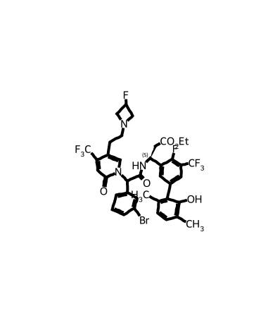 CCOC(=O)C[C@H](NC(=O)C(c1cccc(Br)c1)n1cc(CCN2CC(F)C2)c(C(F)(F)F)cc1=O)c1cc(-c2c(C)ccc(C)c2O)cc(C(F)(F)F)c1F